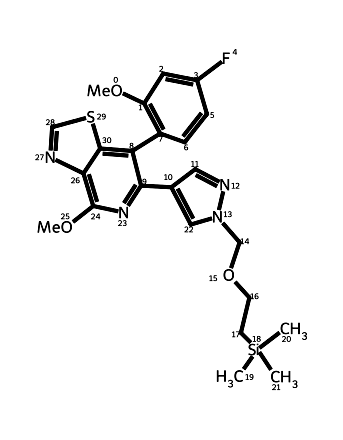 COc1cc(F)ccc1-c1c(-c2cnn(COCC[Si](C)(C)C)c2)nc(OC)c2ncsc12